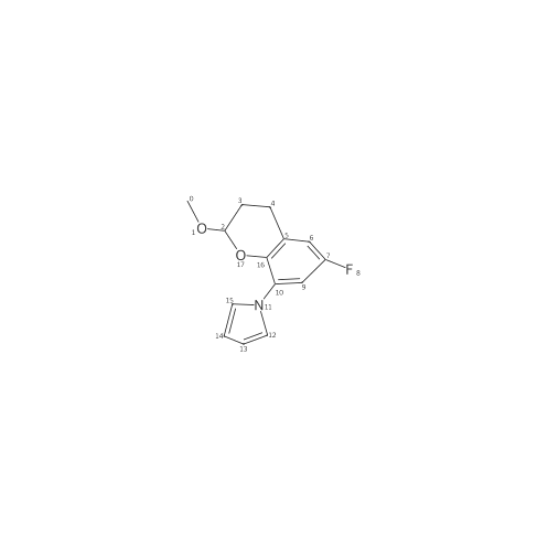 COC1CCc2cc(F)cc(-n3cccc3)c2O1